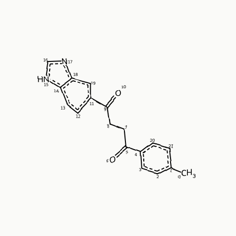 Cc1ccc(C(=O)CCC(=O)c2ccc3[nH]cnc3c2)cc1